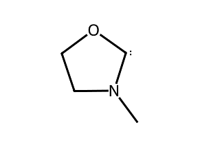 CN1[C]OCC1